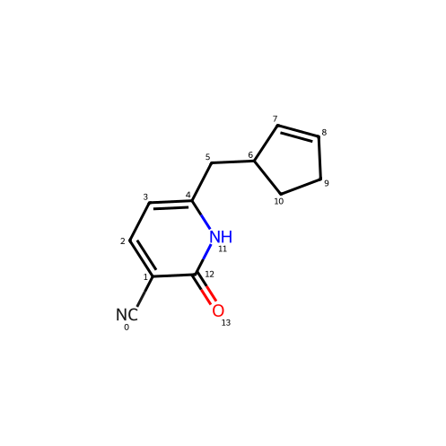 N#Cc1ccc(CC2C=CCC2)[nH]c1=O